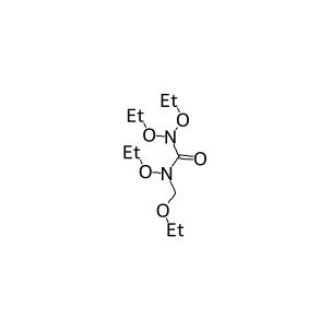 CCOCN(OCC)C(=O)N(OCC)OCC